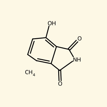 C.O=C1NC(=O)c2c(O)cccc21